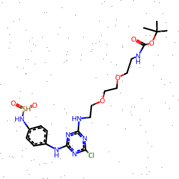 CC(C)(C)OC(=O)NCCOCCOCCNc1nc(Cl)nc(Nc2ccc(N[SH](=O)=O)cc2)n1